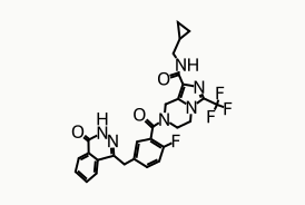 O=C(NCC1CC1)c1nc(C(F)(F)F)n2c1CN(C(=O)c1cc(Cc3n[nH]c(=O)c4ccccc34)ccc1F)CC2